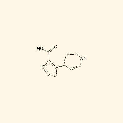 O=C(O)c1sccc1C1C=CNCC1